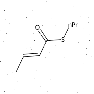 [CH2]CCSC(=O)C=CC